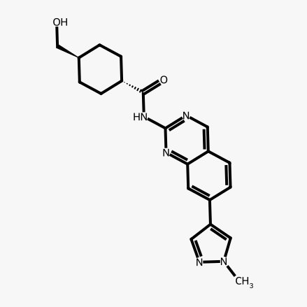 Cn1cc(-c2ccc3cnc(NC(=O)[C@H]4CC[C@H](CO)CC4)nc3c2)cn1